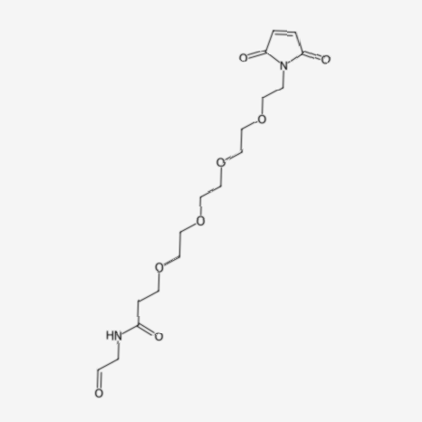 O=CCNC(=O)CCOCCOCCOCCOCCN1C(=O)C=CC1=O